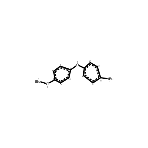 CC(C)(C)Oc1ccc(Oc2ccc(C(C)(C)C)cc2)cc1